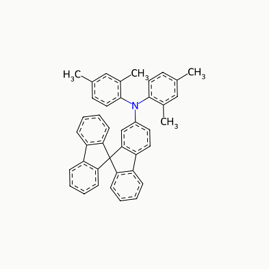 Cc1ccc(N(c2ccc3c(c2)C2(c4ccccc4-c4ccccc42)c2ccccc2-3)c2ccc(C)cc2C)c(C)c1